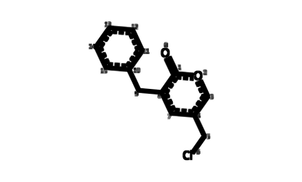 O=c1occ(CCl)cc1Cc1ccccc1